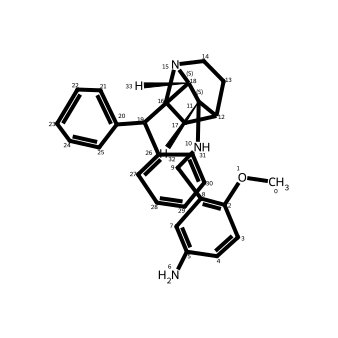 COc1ccc(N)cc1CN[C@H]1C2CCN(CC2)[C@H]1C(c1ccccc1)c1ccccc1